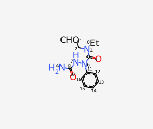 CCN(C[C]=O)C(=O)N(NC(N)=O)c1ccccc1